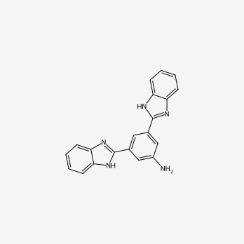 Nc1cc(-c2nc3ccccc3[nH]2)cc(-c2nc3ccccc3[nH]2)c1